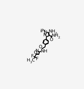 CC(C)n1nc(-c2ccc(CC(=O)Nc3cc(C(C)(F)F)on3)cc2)c(C(N)=O)c1N